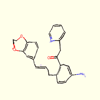 Nc1ccc(C/C=C/c2ccc3c(c2)OCO3)c(C(=O)Cc2ccccn2)c1